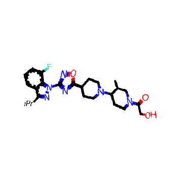 CC(C)c1nn(-c2noc(C3CCN(C4CCN(C(=O)CO)CC4C)CC3)n2)c2c(F)cccc12